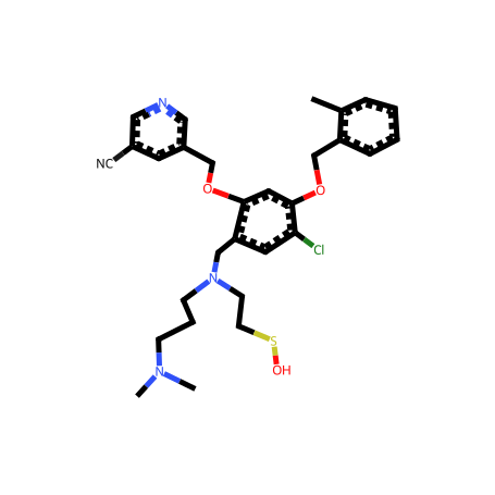 Cc1ccccc1COc1cc(OCc2cncc(C#N)c2)c(CN(CCCN(C)C)CCSO)cc1Cl